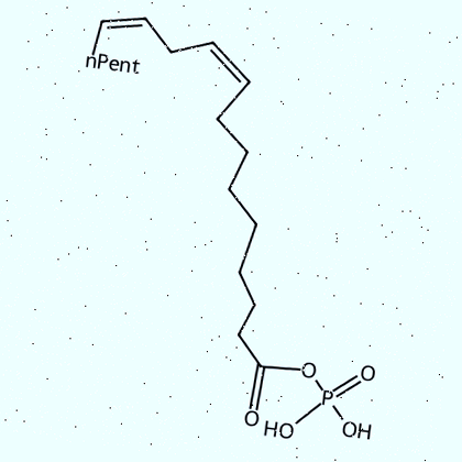 CCCCC/C=C\C/C=C\CCCCCCCC(=O)OP(=O)(O)O